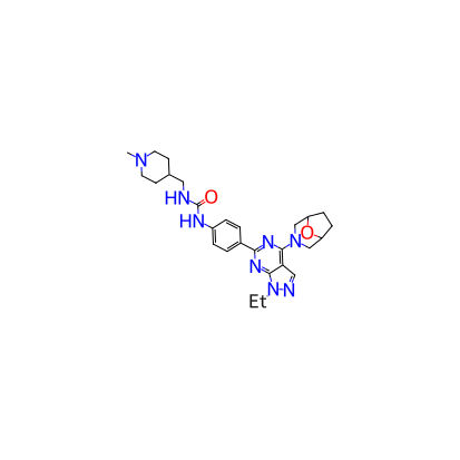 CCn1ncc2c(N3CC4CCC(C3)O4)nc(-c3ccc(NC(=O)NCC4CCN(C)CC4)cc3)nc21